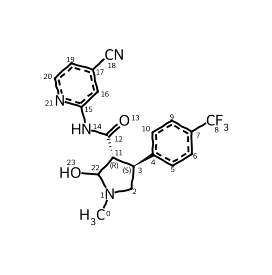 CN1C[C@H](c2ccc(C(F)(F)F)cc2)[C@@H](C(=O)Nc2cc(C#N)ccn2)C1O